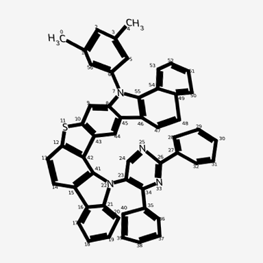 Cc1cc(C)cc(-n2c3cc4sc5ccc6c7ccccc7n(-c7cnc(-c8ccccc8)nc7-c7ccccc7)c6c5c4cc3c3ccc4ccccc4c32)c1